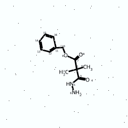 CC(C)(C(=O)NN)C(=O)OCc1ccccc1